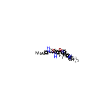 COC1CCC(NC/C=C/C(=O)Nc2ccc(C(=O)c3ccc4c(-c5cc6nc(C)n(C)c6cc5C(F)(F)F)cccn34)cc2C#N)CC1